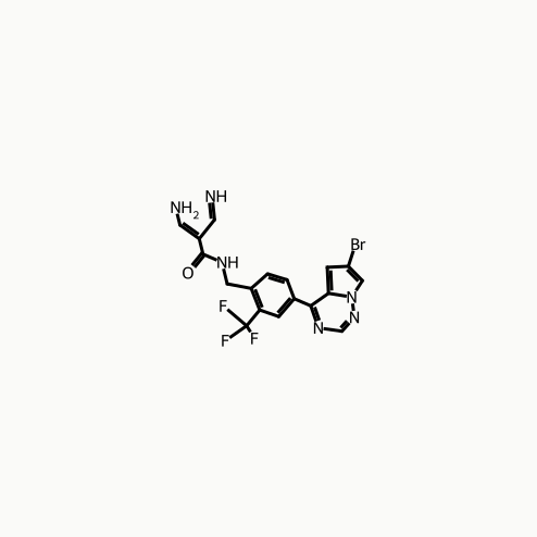 N=C/C(=C\N)C(=O)NCc1ccc(-c2ncnn3cc(Br)cc23)cc1C(F)(F)F